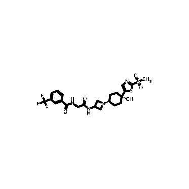 CS(=O)(=O)c1ncc([C@]2(O)CC[C@H](N3CC(NC(=O)CNC(=O)c4cccc(C(F)(F)F)c4)C3)CC2)s1